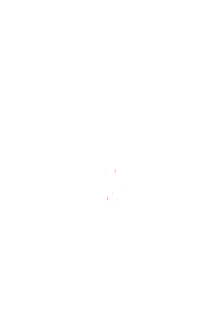 c1ccc2c(c1)OCO2.c1ccccc1